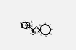 CCC1(OC(=O)C2CC3C=CC2C3O)CCCCCCC1